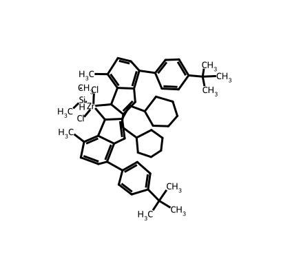 Cc1ccc(-c2ccc(C(C)(C)C)cc2)c2c1[CH]([Zr]([Cl])([Cl])([CH]1C(CC3CCCCC3)=Cc3c(-c4ccc(C(C)(C)C)cc4)ccc(C)c31)[SiH](C)C)C(CC1CCCCC1)=C2